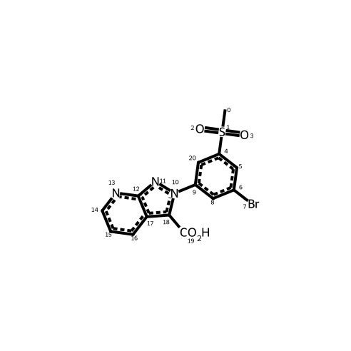 CS(=O)(=O)c1cc(Br)cc(-n2nc3ncccc3c2C(=O)O)c1